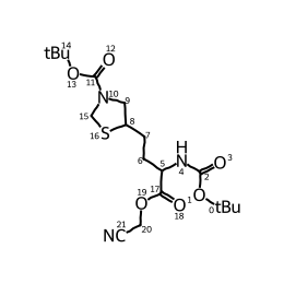 CC(C)(C)OC(=O)NC(CCC1CN(C(=O)OC(C)(C)C)CS1)C(=O)OCC#N